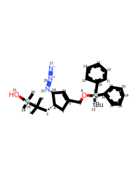 CC(C)(C[C@H]1CC(CO[Si](c2ccccc2)(c2ccccc2)C(C)(C)C)=C[C@H]1N=[N+]=[N-])[Si](C)(C)O